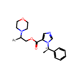 CC(=O)C(COC(=O)c1cncn1[C@H](C)c1ccccc1)N1CCOCC1